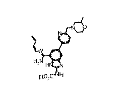 C=C/C=C\N=C(/N)c1cc(-c2ccc(CN3CCOC(C)C3)nc2)cc2nc(NC(=O)OCC)[nH]c12